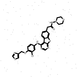 O=C(Cc1ccc2c(c1)sc1ncnc(Nc3ccc(OCc4cscn4)c(Cl)c3)c12)NN1CCOCC1